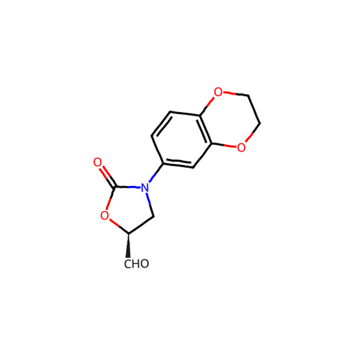 O=C[C@@H]1CN(c2ccc3c(c2)OCCO3)C(=O)O1